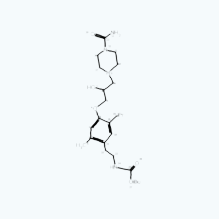 Cc1cc(OCC(O)CN2CCN(C(N)=O)CC2)c(C(C)C)cc1CCNC(=O)OCC(C)C